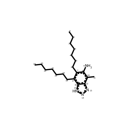 CCCCCCCc1c(N)c(C)c2nn[nH]c2c1CCCCCCC